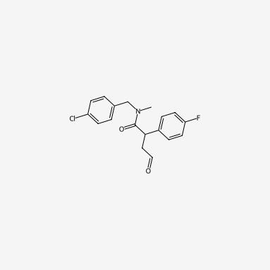 CN(Cc1ccc(Cl)cc1)C(=O)C(CC=O)c1ccc(F)cc1